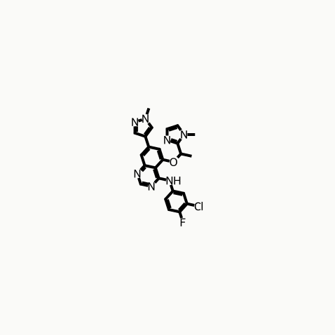 CC(Oc1cc(-c2cnn(C)c2)cc2ncnc(Nc3ccc(F)c(Cl)c3)c12)c1nccn1C